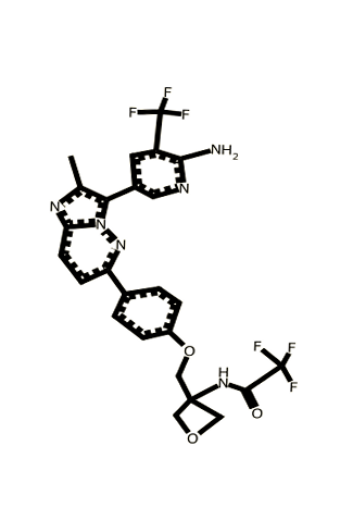 Cc1nc2ccc(-c3ccc(OCC4(NC(=O)C(F)(F)F)COC4)cc3)nn2c1-c1cnc(N)c(C(F)(F)F)c1